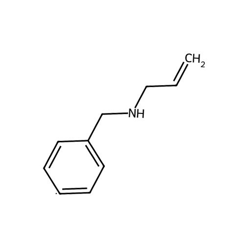 C=CCNCc1cc[c]cc1